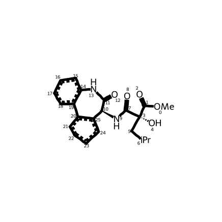 COC(=O)[C@@](O)(CC(C)C)C(=O)N[C@@H]1C(=O)Nc2ccccc2-c2ccccc21